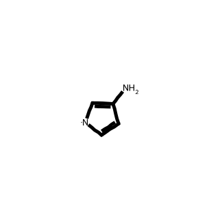 NC1=C[N]C=C1